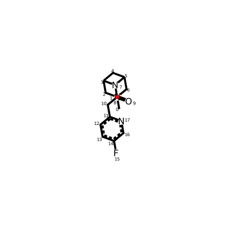 CN1CC2CC(C1)N2C(=O)Cc1ccc(F)cn1